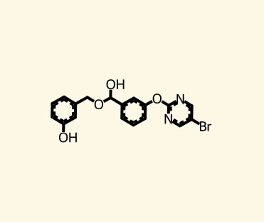 Oc1cccc(COC(O)c2cccc(Oc3ncc(Br)cn3)c2)c1